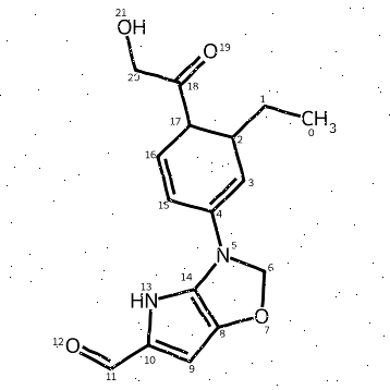 CCC1C=C(N2COc3cc(C=O)[nH]c32)C=CC1C(=O)CO